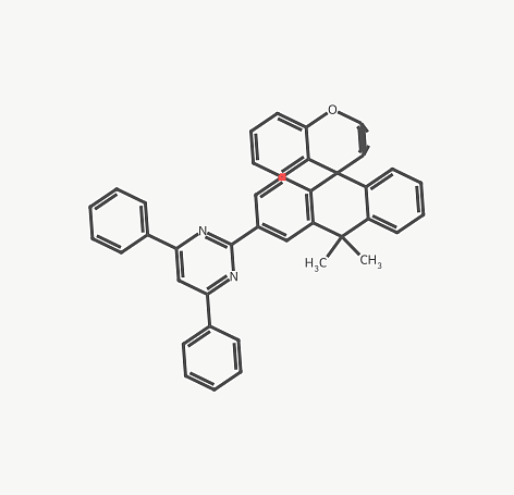 CC1(C)c2ccccc2C2(c3ccccc3Oc3ccccc32)c2ccc(-c3nc(-c4ccccc4)cc(-c4ccccc4)n3)cc21